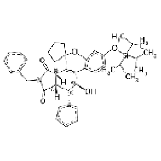 CC(C)[Si](Oc1ccc2c(c1)OC1(CCCC1)C1=C2[C@@H](O)[C@H](c2ccccc2)[C@@H]2C(=O)N(Cc3ccccc3)C(=O)[C@H]12)(C(C)C)C(C)C